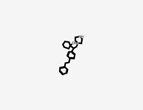 OC1(C(CN2CCNCC2)c2ccc(CCc3ccccc3)cc2)CCCCC1